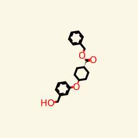 O=C(OCc1ccccc1)[C@H]1CC[C@H](Oc2cccc(CO)c2)CC1